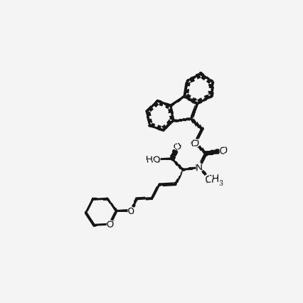 CN(C(=O)OCC1c2ccccc2-c2ccccc21)[C@@H](CCCCOC1CCCCO1)C(=O)O